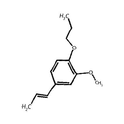 [CH2]C=Cc1ccc(OCCC)c(OC)c1